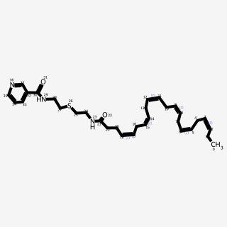 CC/C=C\C/C=C\C/C=C\C/C=C\C/C=C\C/C=C\CCC(=O)NCCSCCNC(=O)c1cccnc1